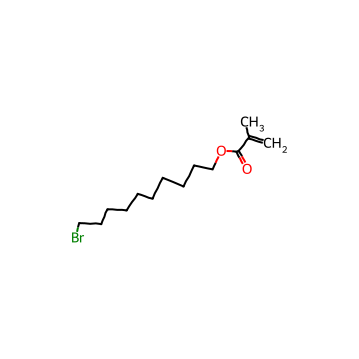 C=C(C)C(=O)OCCCCCCCCCCBr